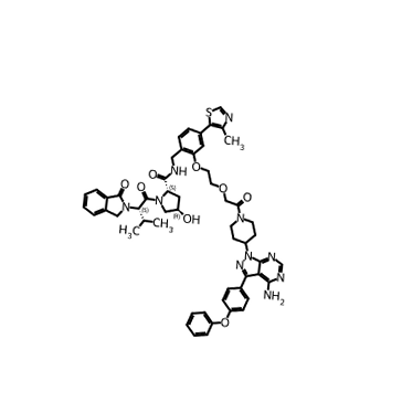 Cc1ncsc1-c1ccc(CNC(=O)[C@@H]2C[C@@H](O)CN2C(=O)[C@H](C(C)C)N2Cc3ccccc3C2=O)c(OCCOCC(=O)N2CCC(n3nc(-c4ccc(Oc5ccccc5)cc4)c4c(N)ncnc43)CC2)c1